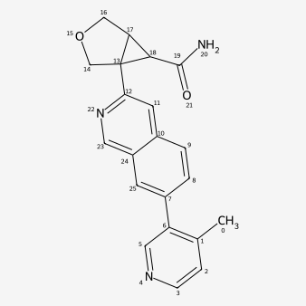 Cc1ccncc1-c1ccc2cc(C34COCC3C4C(N)=O)ncc2c1